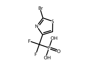 O=P(O)(O)C(F)(F)c1csc(Br)n1